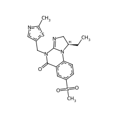 CC[C@@H]1CN=C2N(Cc3cnc(C)s3)C(=O)c3cc(S(C)(=O)=O)ccc3N21